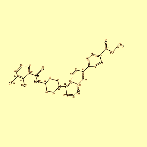 COC(=O)c1ccc(-c2ccc3c(N4CCC(NC(=O)c5cccc(Cl)c5Cl)CC4)ncnc3c2)cc1